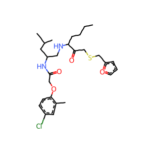 CCCCC(NCC(CC(C)C)NC(=O)COc1ccc(Cl)cc1C)C(=O)CSCc1ccco1